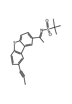 CC#Cc1ccc2sc3ccc(/C(C)=N/S(=O)(=O)C(C)(C)C)cc3c2c1